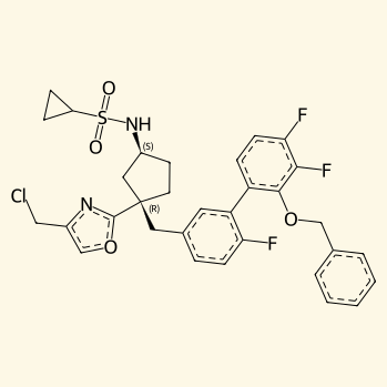 O=S(=O)(N[C@H]1CC[C@](Cc2ccc(F)c(-c3ccc(F)c(F)c3OCc3ccccc3)c2)(c2nc(CCl)co2)C1)C1CC1